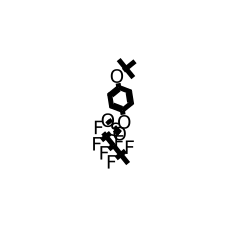 CC(C)(C)Oc1ccc(OS(=O)(=O)C(F)(F)C(F)(F)C(C)(F)F)cc1